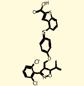 CC(C)C1ON=C(c2c(Cl)cccc2Cl)C1COc1ccc(Sc2cccc3sc(C(=O)O)cc23)cc1